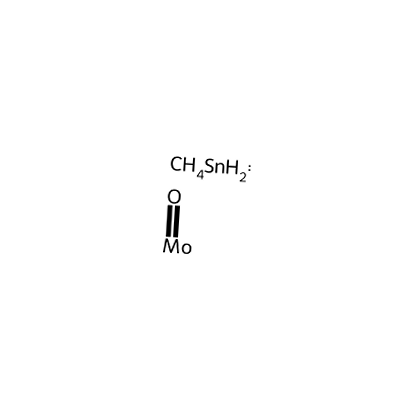 C.[O]=[Mo].[SnH2]